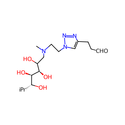 CC(C)[C@@H](O)[C@@H](O)[C@H](O)C(O)CN(C)CCn1cc(CCC=O)nn1